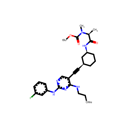 COCCNc1nc(Nc2cccc(F)c2)ncc1C#C[C@@H]1CCC[C@H](NC(=O)[C@H](C)N(C)C(=O)OC(C)(C)C)C1